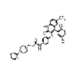 O=C(CCN1CCN(c2ccccn2)CC1)Nc1ccc(Sc2c(-c3cc(Cl)ccc3O)c3cc(C(F)(F)F)ccc3[nH]c2=O)cc1